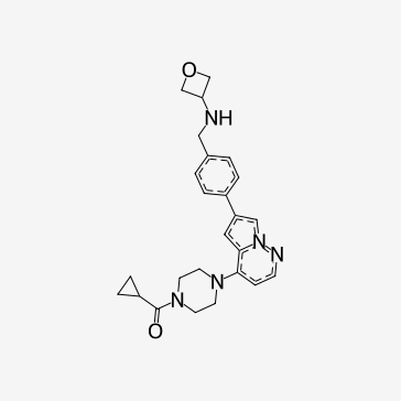 O=C(C1CC1)N1CCN(c2ccnn3cc(-c4ccc(CNC5COC5)cc4)cc23)CC1